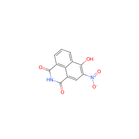 O=C1NC(=O)c2cc([N+](=O)[O-])c(O)c3cccc1c23